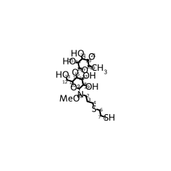 CON(CCCSCCS)[C@@H]1OC(CO)[C@@H](O[C@@H]2OC(C)C(=O)C(O)C2O)C(O)C1O